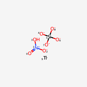 O=[N+]([O-])O.[O-][Si]([O-])([O-])[O-].[Tl]